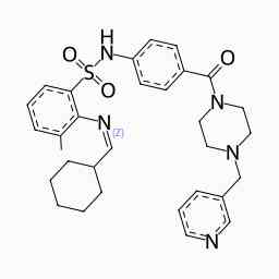 Cc1cccc(S(=O)(=O)Nc2ccc(C(=O)N3CCN(Cc4cccnc4)CC3)cc2)c1/N=C\C1CCCCC1